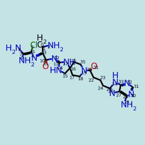 C=C(N)/C(=N\C(Cl)=C(N)N)C(=O)/N=C1\NCC2(CCN(C(=O)CCCc3nc4c(N)ncnc4[nH]3)CC2)N1